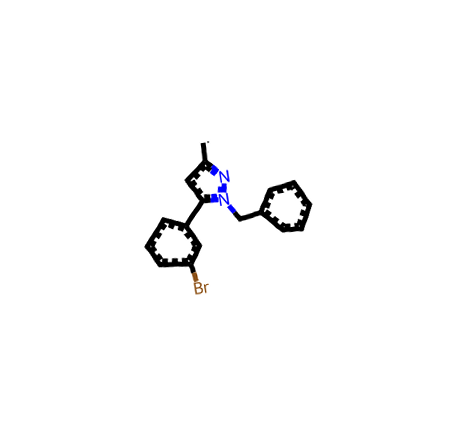 [CH2]c1cc(-c2cccc(Br)c2)n(Cc2ccccc2)n1